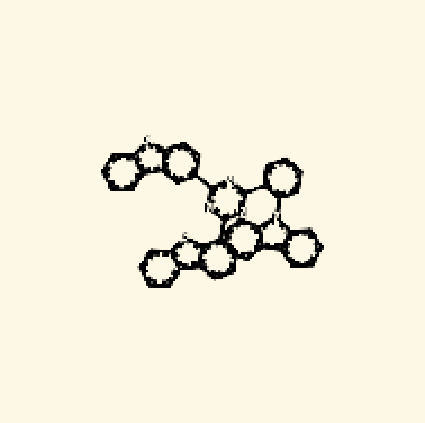 c1ccc(-n2c3ccccc3c3ccccc32)c(-c2nc(-c3ccc4sc5ccccc5c4c3)nc(-c3cccc4c3sc3ccccc34)n2)c1